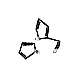 O=Cc1ccc[nH]1.c1cc[nH]c1